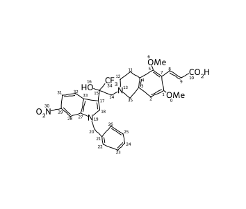 COc1cc2c(c(OC)c1/C=C/C(=O)O)CCN(CC(O)(c1cn(Cc3ccccc3)c3cc([N+](=O)[O-])ccc13)C(F)(F)F)C2